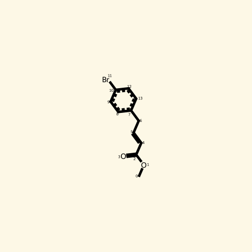 COC(=O)C=CCc1ccc(Br)cc1